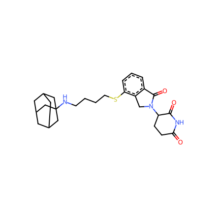 O=C1CCC(N2Cc3c(SCCCCNC45CC6CC(CC(C6)C4)C5)cccc3C2=O)C(=O)N1